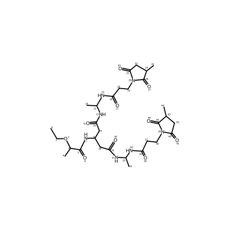 CCOC(C)C(=O)NC(CC(=O)NC(C)NC(=O)CCN1C(=O)CC(C)C1=O)CC(=O)NC(C)NC(=O)CCN1C(=O)CC(C)C1=O